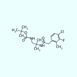 Cc1c(CC(=O)NC(C)(C)CNC(=O)OC(C)(C)C)ccc(Cl)c1F